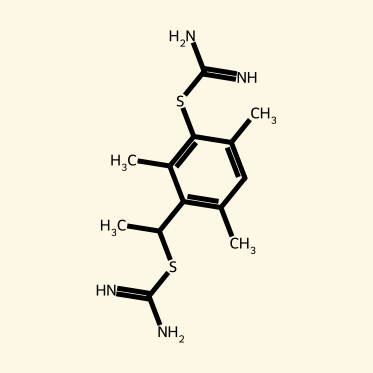 Cc1cc(C)c(C(C)SC(=N)N)c(C)c1SC(=N)N